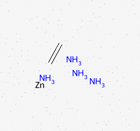 C=C.N.N.N.N.[Zn]